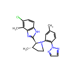 Cc1c[c]c(-n2nccn2)c(N2CC[C@H](C)[C@H]2c2nc3c(C)c(Cl)ccc3[nH]2)c1